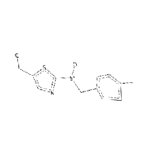 Cc1ccc(C[S+]([O-])c2ncc(CCl)s2)cc1